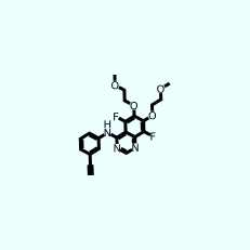 C#Cc1cccc(Nc2ncnc3c(F)c(OCCOC)c(OCCOC)c(F)c23)c1